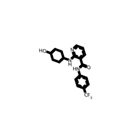 O=C(Nc1ccc(C(F)(F)F)cc1)c1cccnc1NC1CCC(O)CC1